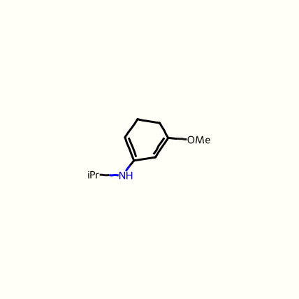 COC1=CC(NC(C)C)=CCC1